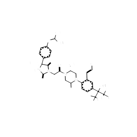 CC=Cc1cc(C(O)(C(F)(F)F)C(F)(F)F)ccc1N1C[C@@H](C)N(C(=O)CN2C(=O)N[C@@](C)(c3ccc(OC(C)C)cc3)C2=O)CC1C